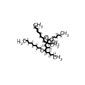 CCCCCCCCOC(CCCCC)C(CC)CC(CC)(CCCCCCCC)C(=O)OCCCCC